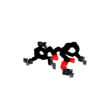 COC(=O)CC1(CC(=O)Cc2c(C)cc(C)cc2C)CCCC(C)C1